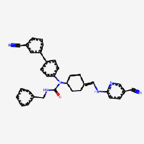 N#Cc1ccc(NC=C2CCC(N(C(=O)NCc3ccccc3)c3ccc(-c4cccc(C#N)c4)cc3)CC2)nc1